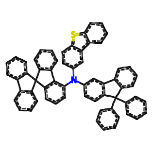 c1ccc(C2(c3ccccc3)c3ccccc3-c3cc(N(c4ccc5sc6ccccc6c5c4)c4cccc5c4-c4ccccc4C54c5ccccc5-c5ccccc54)ccc32)cc1